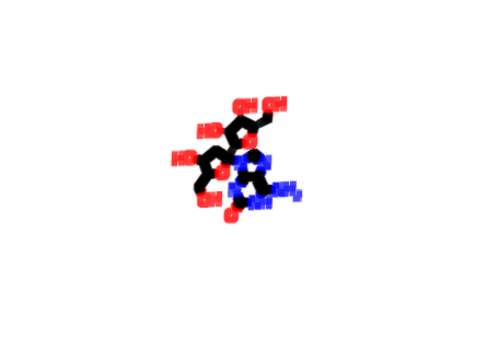 Nc1[nH]c(=O)nc2c1ncn2C1([C@@H]2O[C@H](CO)[C@@H](O)[C@H]2O)CC(O)C(CO)O1